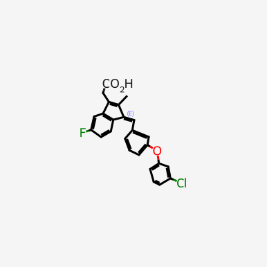 CC1=C(CC(=O)O)c2cc(F)ccc2/C1=C\c1cccc(Oc2cccc(Cl)c2)c1